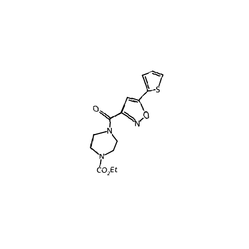 CCOC(=O)N1CCN(C(=O)c2cc(-c3cccs3)on2)CC1